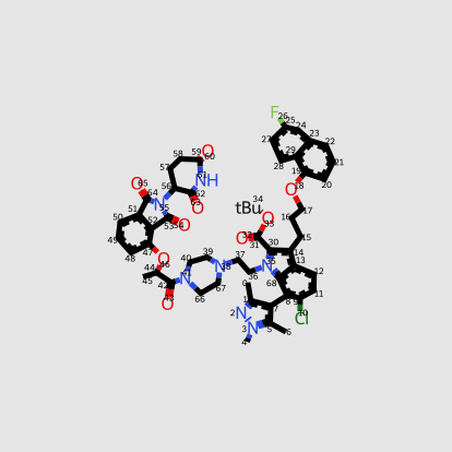 Cc1nn(C)c(C)c1-c1c(Cl)ccc2c(CCCOc3cccc4cc(F)ccc34)c(C(=O)OC(C)(C)C)n(CCN3CCN(C(=O)C(C)Oc4cccc5c4C(=O)N(C4CCC(=O)NC4=O)C5=O)CC3)c12